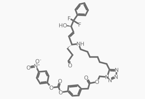 O=CCC[C@H](/C=C/[C@@H](O)C(F)(F)c1ccccc1)NCCCCCCc1nnnn1COC(=O)Cc1ccc(OC(=O)Oc2ccc([N+](=O)[O-])cc2)cc1